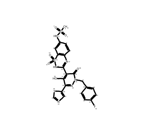 CS(=O)(=O)Nc1ccc2c(c1)S(=O)(=O)NC(c1c(O)c(-c3cncs3)nn(Cc3ccc(F)cc3)c1=O)=N2